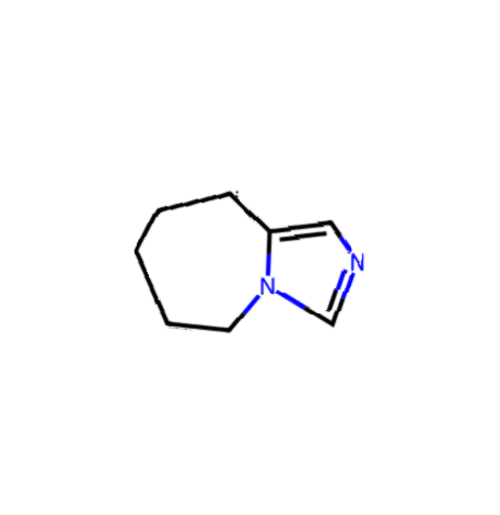 [C]1CCCCn2cncc21